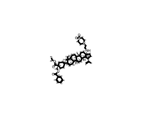 C=C(C)[C@@H]1CC[C@]2(NCCN3CCS(=O)(=O)CC3)CC[C@]3(C)[C@H](CC[C@@H]4[C@@]5(C)CC=C(C6=CC[C@@](COC(=O)c7ccccc7)(C(=O)OCC)CC6)C(C)(C)[C@@H]5CC[C@]43C)[C@@H]12